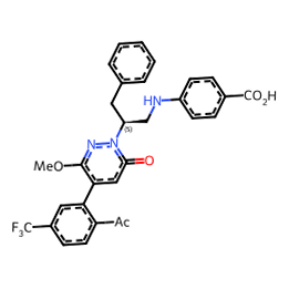 COc1nn([C@H](CNc2ccc(C(=O)O)cc2)Cc2ccccc2)c(=O)cc1-c1cc(C(F)(F)F)ccc1C(C)=O